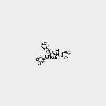 Fc1ccc(CNc2cc(OCc3ccccc3)c(OCc3ccccc3)nn2)cc1